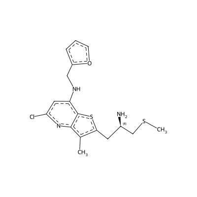 CSC[C@H](N)Cc1sc2c(NCc3ccco3)cc(Cl)nc2c1C